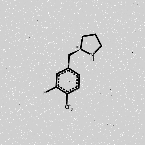 Fc1cc(C[C@H]2CCCN2)ccc1C(F)(F)F